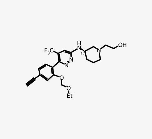 C#Cc1ccc(-c2nnc(N[C@@H]3CCCN(CCO)C3)cc2C(F)(F)F)c(OCOCC)c1